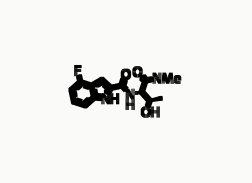 CNC(=O)[C@@H](NC(=O)c1cc2c(F)cccc2[nH]1)[C@@H](C)O